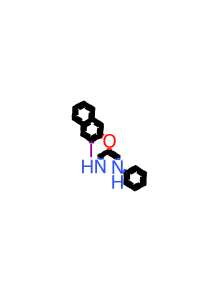 N=C/C(=C\Nc1ccccc1)Oc1cc2ccccc2cc1I